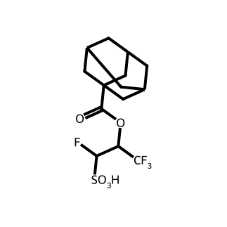 O=C(OC(C(F)S(=O)(=O)O)C(F)(F)F)C12CC3CC(CC(C3)C1)C2